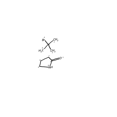 CC(C)(C)Br.O=C1CCCN1